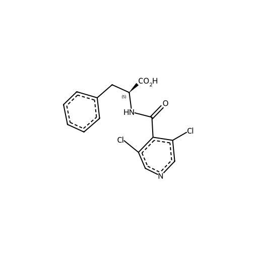 O=C(N[C@@H](Cc1ccccc1)C(=O)O)c1c(Cl)cncc1Cl